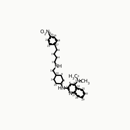 CN(C)c1cc(NC2CCC(CNCCCCc3ccc([N+](=O)[O-])cc3)CC2)nc2ccccc12